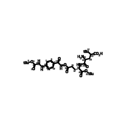 CC(C)(C)OC(=O)NNc1ccc(C(=O)NOC(=O)CC[C@H](NC(=O)[C@@H](N)CC(C(=O)O)C(C)(C)C)C(=O)OC(C)(C)C)cn1